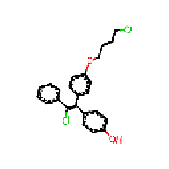 Oc1ccc(C(=C(Cl)c2ccccc2)c2ccc(OCCCCCl)cc2)cc1